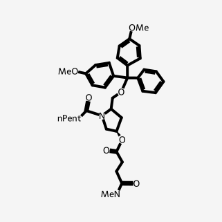 CCCCCC(=O)N1C[C@H](OC(=O)CCC(=O)NC)CC1COC(c1ccccc1)(c1ccc(OC)cc1)c1ccc(OC)cc1